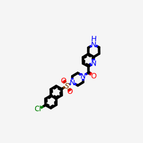 O=C(c1ccc2c(n1)CCNC2)N1CCN(S(=O)(=O)c2ccc3cc(Cl)ccc3c2)CC1